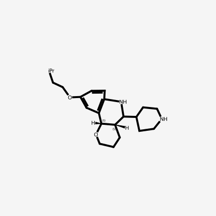 CC(C)CCOc1ccc2c(c1)[C@H]1OCCC[C@H]1C(C1CCNCC1)N2